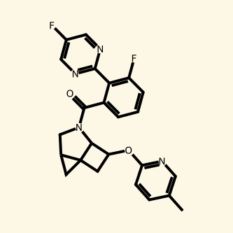 Cc1ccc(OC2CC34CC3CN(C(=O)c3cccc(F)c3-c3ncc(F)cn3)C24)nc1